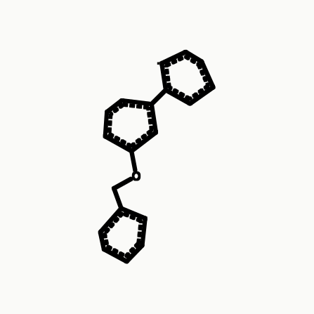 [c]1ccccc1-c1cccc(OCc2ccccc2)c1